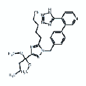 CCCCCc1nc(C(CCC)(OC)OC)nn1Cc1ccc(-c2cnccc2-c2nnn[nH]2)cc1